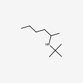 CCCCC(C)PC(C)(C)C